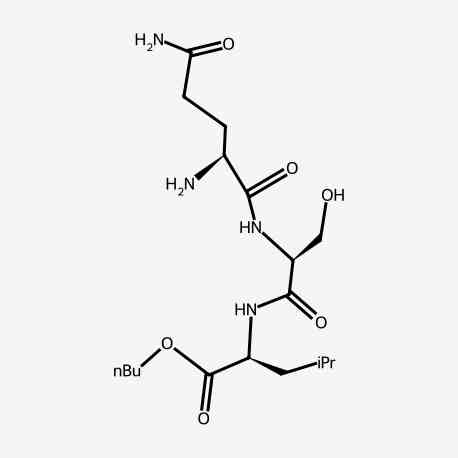 CCCCOC(=O)[C@H](CC(C)C)NC(=O)[C@H](CO)NC(=O)[C@@H](N)CCC(N)=O